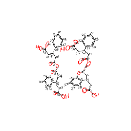 O=C(O)CC(CC(=O)OC(=O)CC(CC(=O)O)c1ccccc1)c1ccccc1.O=C(O)CC(CC(=O)OC(=O)CC(CC(=O)O)c1ccccc1)c1ccccc1